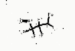 O=PC(F)(F)C(F)(F)C(F)F